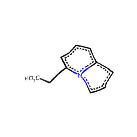 O=C(O)Cc1cccc2cccn12